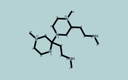 CNCCC1CN(C2(CCNC)CN(C)CC[N]2)CCN1C